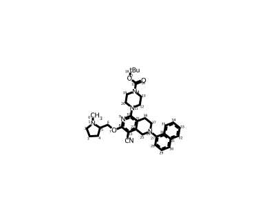 CN1CCCC1COc1nc(N2CCN(C(=O)OC(C)(C)C)CC2)c2c(c1C#N)CN(c1cccc3ccccc13)CC2